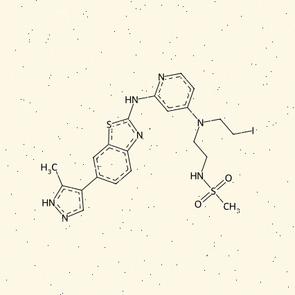 Cc1[nH]ncc1-c1ccc2nc(Nc3cc(N(CCI)CCNS(C)(=O)=O)ccn3)sc2c1